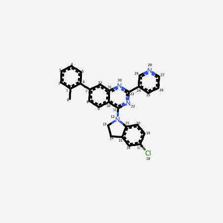 Cc1ccccc1-c1ccc2c(N3CCc4cc(Cl)ccc43)nc(-c3cccnc3)nc2c1